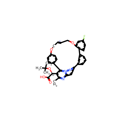 Cc1nc2cc3nn2c(c1[C@H](OC(C)(C)C)C(=O)O)-c1ccc(cc1)OC/C=C/COc1cc(F)ccc1-c1cccc-3c1